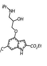 CCOC(=O)c1cc2c(OCC(O)CNC(C)C)cc(C)cc2[nH]1